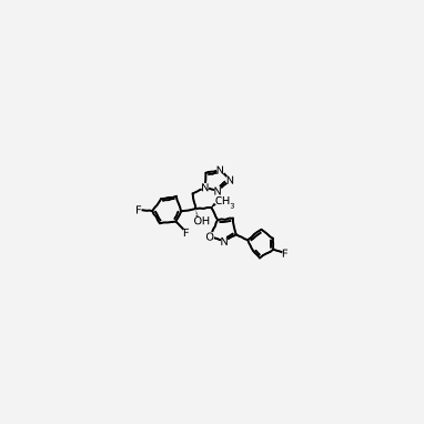 C[C@@H](c1cc(-c2ccc(F)cc2)no1)[C@](O)(Cn1cnnn1)c1ccc(F)cc1F